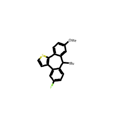 COc1ccc2c(c1)C(C(C)(C)C)c1ccc(F)cc1-c1ccsc1-2